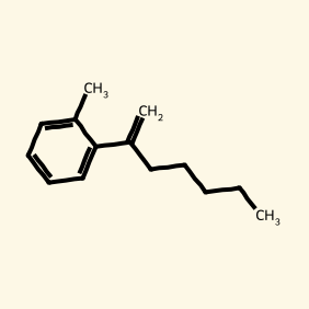 C=C(CCCCC)c1ccccc1C